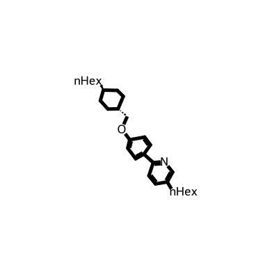 CCCCCCc1ccc(-c2ccc(OC[C@H]3CC[C@H](CCCCCC)CC3)cc2)nc1